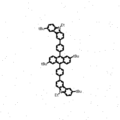 CCn1c2ccc(-c3ccc(-c4c5ccc(C(C)(C)C)cc5c(-c5ccc(-c6ccc7c(c6)c6cc(C(C)(C)C)ccc6n7CC)cc5)c5ccc(C(C)(C)C)cc45)cc3)cc2c2cc(C(C)(C)C)ccc21